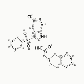 CCN(CC(=O)Nc1[nH]c2ccc(Cl)cc2c1S(=O)(=O)c1ccccc1)Cc1ccncc1